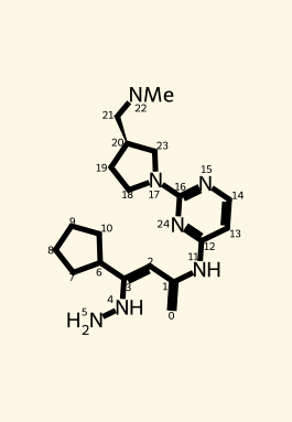 C=C(/C=C(\NN)C1CCCC1)Nc1ccnc(N2CC[C@@H](CNC)C2)n1